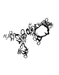 COc1cc2cc(c1Cl)N(C)C(=O)C[C@H](OC(=O)Nc1ccc(NC(=O)[C@H](CCCNC(N)=O)NC(=O)[C@@H](NC(C=O)CCCC(C)(C)OC(C=O)(CBr)CBr)C(C)C)cc1F)[C@]1(C)O[C@H]1[C@H](C)[C@@H]1C[C@@](O)(NC(=O)O1)[C@H](OC)/C=C/C=C(\C)C2